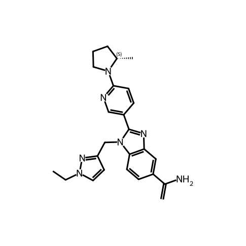 C=C(N)c1ccc2c(c1)nc(-c1ccc(N3CCC[C@@H]3C)nc1)n2Cc1ccn(CC)n1